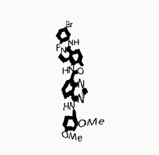 COc1ccc(CNc2ncnc3c(C(=O)Nc4c(C)ccc5c(Nc6cc(Br)ccc6F)nccc45)cccc23)c(OC)c1